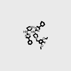 CCOc1cc(CN2CCC(Nc3ncc(-c4ccccc4)cn3)CC2)cc(OCC)c1F.c1ccc(-c2cnc(NC3CCNCC3)nc2)cc1